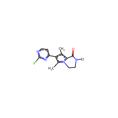 CCN1CCn2c(C)c(-c3ccnc(F)n3)c(C)c2C1=O